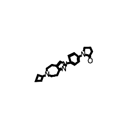 O=C1CCCN1c1ccc(-n2cc3c(n2)CCN(C2CCC2)CC3)cc1